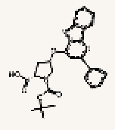 CC(C)(C)OC(=O)N1C[C@H](Oc2cc(-c3ccccc3)nc3c4ccccc4nn23)C[C@H]1C(=O)O